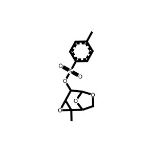 Cc1ccc(S(=O)(=O)OC2C3OCC(O3)C3(C)OC23)cc1